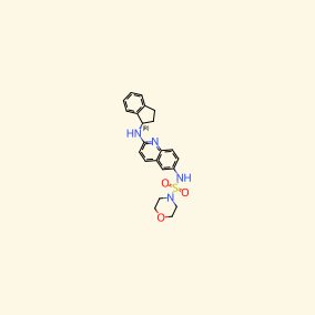 O=S(=O)(Nc1ccc2nc(N[C@@H]3CCc4ccccc43)ccc2c1)N1CCOCC1